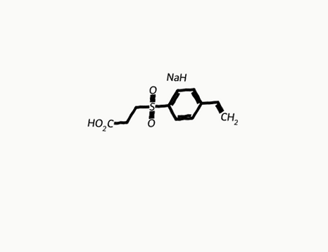 C=Cc1ccc(S(=O)(=O)CCC(=O)O)cc1.[NaH]